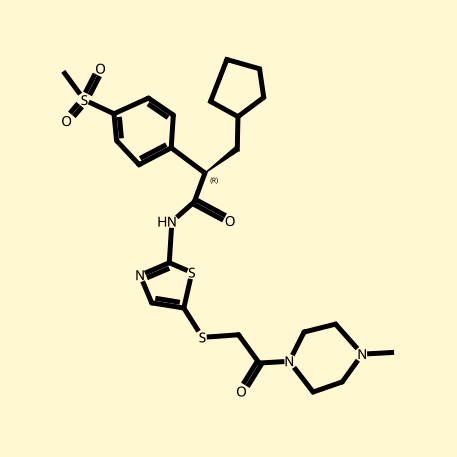 CN1CCN(C(=O)CSc2cnc(NC(=O)[C@H](CC3CCCC3)c3ccc(S(C)(=O)=O)cc3)s2)CC1